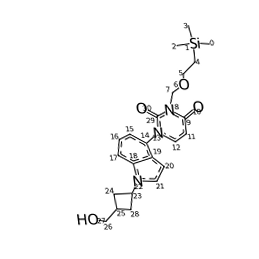 C[Si](C)(C)CCOCn1c(=O)ccn(-c2cccc3c2ccn3C2CC(CO)C2)c1=O